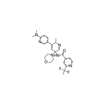 CC1N=CC(NC(=O)c2ccnc(C(C)(F)F)c2)(N2CCOCC2)C=C1c1ccc(N(C)C)nc1